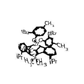 CC1=C2c3c(C(C)C)cccc3[CH]1[Zr]([O]c1ccc(C)cc1C(C)(C)C)([O]c1ccc(C)cc1C(C)(C)C)[CH]1C(C)=C(c3c(C(C)C)cccc31)[Si]2(C)C